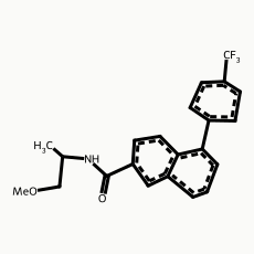 COCC(C)NC(=O)c1ccc2c(-c3ccc(C(F)(F)F)cc3)cccc2c1